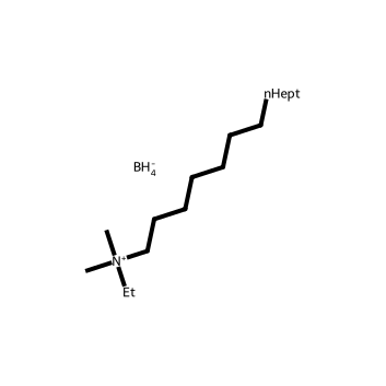 CCCCCCCCCCCCCC[N+](C)(C)CC.[BH4-]